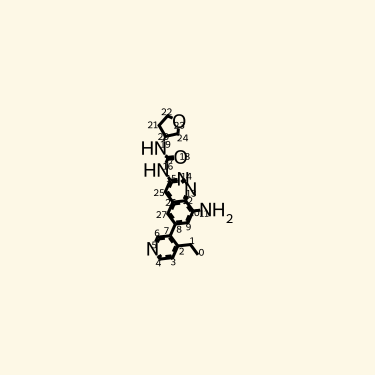 CCc1ccncc1-c1cc(N)c2nnc(NC(=O)N[C@H]3CCOC3)cc2c1